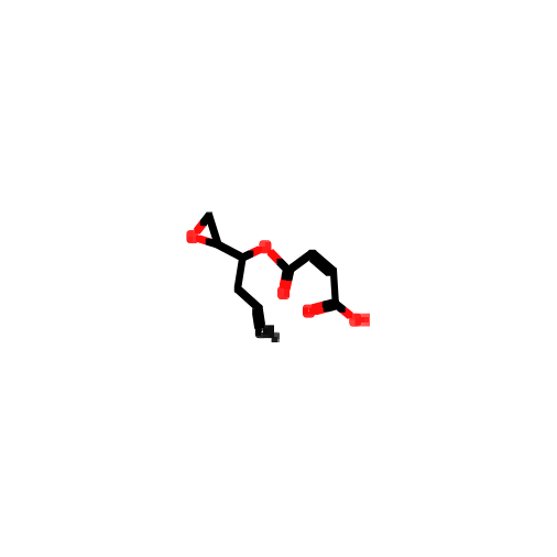 C=CCC(OC(=O)/C=C\C(=O)O)C1CO1